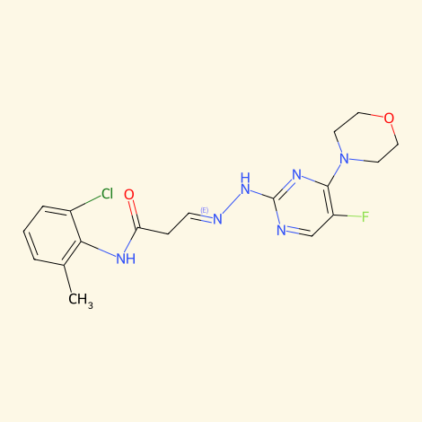 Cc1cccc(Cl)c1NC(=O)C/C=N/Nc1ncc(F)c(N2CCOCC2)n1